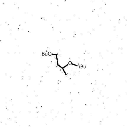 [CH2]C(CCOCC(C)C)OCCCC